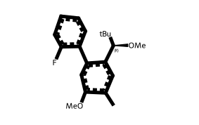 COc1cc(-c2ccccc2F)c([C@H](OC)C(C)(C)C)cc1C